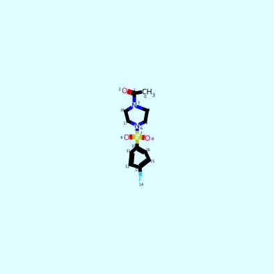 CC(=O)N1CCN(S(=O)(=O)c2ccc(F)cc2)CC1